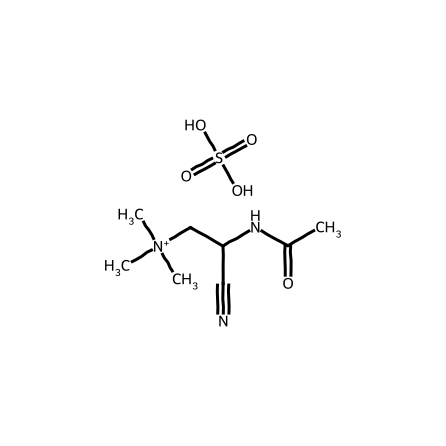 CC(=O)NC(C#N)C[N+](C)(C)C.O=S(=O)(O)O